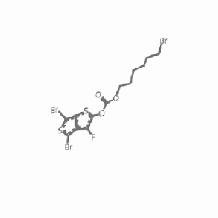 O=C(OCCCCCCBr)Oc1sc2c(Br)sc(Br)c2c1F